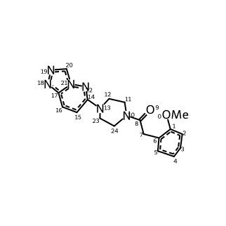 COc1ccccc1CC(=O)N1CCN(c2ccc3nncn3n2)CC1